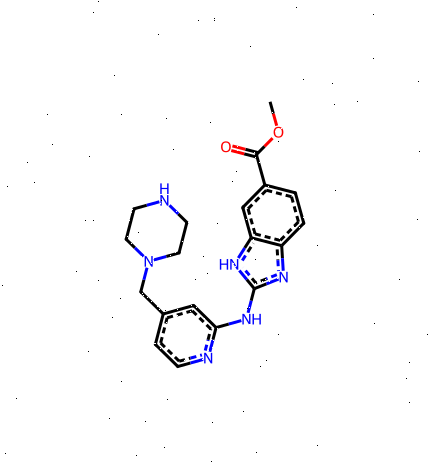 COC(=O)c1ccc2nc(Nc3cc(CN4CCNCC4)ccn3)[nH]c2c1